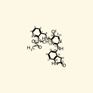 CN(c1ncccc1CNc1nc(Nc2cccc3c2CC(=O)N3)ncc1C(F)(F)F)S(C)(=O)=O